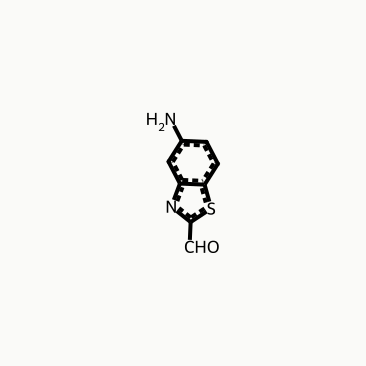 Nc1ccc2sc(C=O)nc2c1